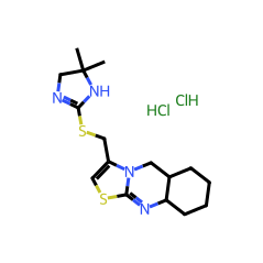 CC1(C)CN=C(SCC2=CSC3=NC4CCCCC4CN23)N1.Cl.Cl